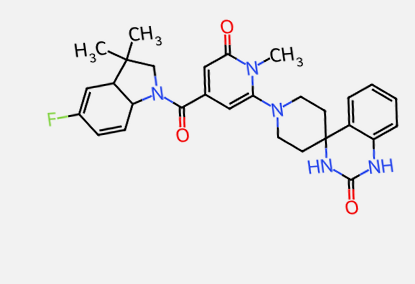 Cn1c(N2CCC3(CC2)NC(=O)Nc2ccccc23)cc(C(=O)N2CC(C)(C)C3C=C(F)C=CC32)cc1=O